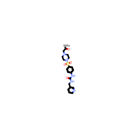 CNC(=O)CN1CCN(S(=O)(=O)c2ccc(NC(=O)NCc3cccnc3)cc2)CC1